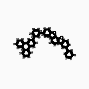 c1ccc(-c2ccc3oc4c(ccc5c6cc(-c7cccc(-c8ccc9c%10ccccc%10c%10ccccc%10c9c8)c7)ccc6oc54)c3c2)cc1